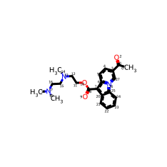 CC(=O)c1ccc2c(C(=O)OCCN(C)CCN(C)C)c3ccccc3n2c1